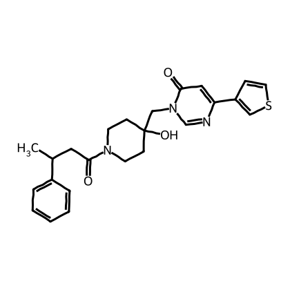 CC(CC(=O)N1CCC(O)(Cn2cnc(-c3ccsc3)cc2=O)CC1)c1ccccc1